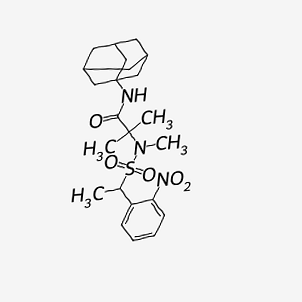 CC(c1ccccc1[N+](=O)[O-])S(=O)(=O)N(C)C(C)(C)C(=O)NC12CC3CC(CC(C3)C1)C2